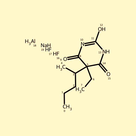 CCCC(C)C1(CC)C(=O)N=C(O)NC1=O.F.F.[AlH3].[NaH]